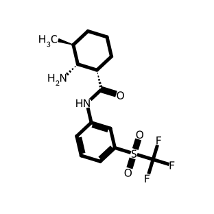 C[C@H]1CCC[C@H](C(=O)Nc2cccc(S(=O)(=O)C(F)(F)F)c2)[C@@H]1N